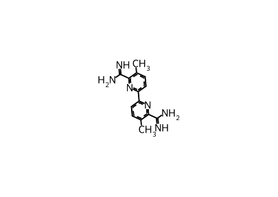 Cc1ccc(-c2ccc(C)c(C(=N)N)n2)nc1C(=N)N